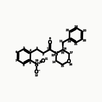 O=C(CCc1ccccc1[N+](=O)[O-])N1CCOC[C@@H]1Cc1ccccc1